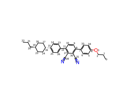 CCCOc1ccc(-c2ccc(-c3ccc([C@H]4CC[C@H](CCC)CC4)cc3)c(C#N)c2C#N)cc1